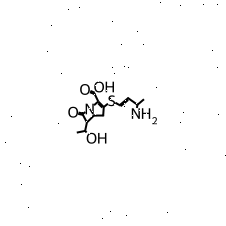 CC(N)C=CSC1=C(C(=O)O)N2C(=O)C(C(C)O)C2C1